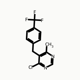 Cc1ncnc(Cl)c1Cc1ccc(C(F)(F)F)cc1